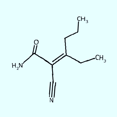 CCC/C(CC)=C(/C#N)C(N)=O